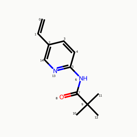 C=Cc1ccc(NC(=O)C(C)(C)C)nc1